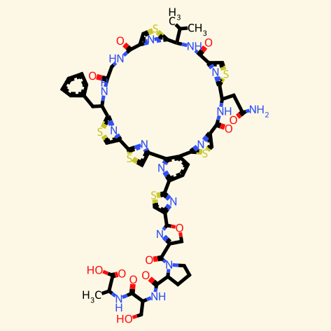 CC(NC(=O)C(CO)NC(=O)C1CCCN1C(=O)C1=NC(c2csc(-c3ccc4c(n3)-c3csc(n3)-c3csc(n3)C(Cc3ccccc3)NC(=O)CNC(=O)c3csc(n3)C(C(C)C)NC(=O)c3csc(n3)C(CC(N)=O)NC(=O)c3csc-4n3)n2)OC1)C(=O)O